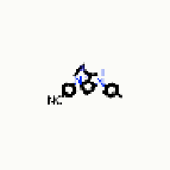 C/C1=C\C=C/CN(c2ccc(C#N)cc2)c2cccc(Nc3ccc(C)cc3)c21